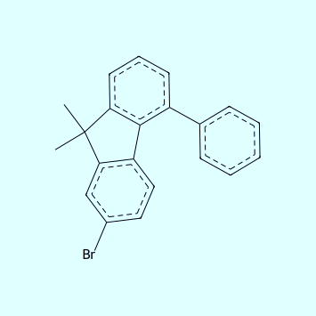 CC1(C)c2cc(Br)ccc2-c2c(-c3ccccc3)cccc21